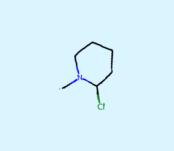 [CH2]N1CCCCC1Cl